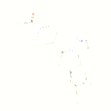 CCC(=O)N1CCC(C(=O)N2N=CCC2c2ccc(F)cc2)CC1